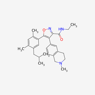 CCNC(=O)c1noc(-c2cc(CC(C)C)c(C)cc2C)c1-c1ccc2c(c1)CCN(C)C2